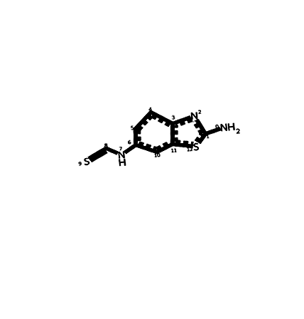 Nc1nc2ccc(NC=S)cc2s1